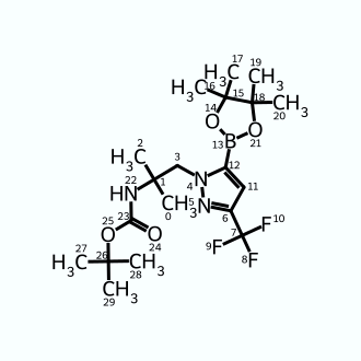 CC(C)(Cn1nc(C(F)(F)F)cc1B1OC(C)(C)C(C)(C)O1)NC(=O)OC(C)(C)C